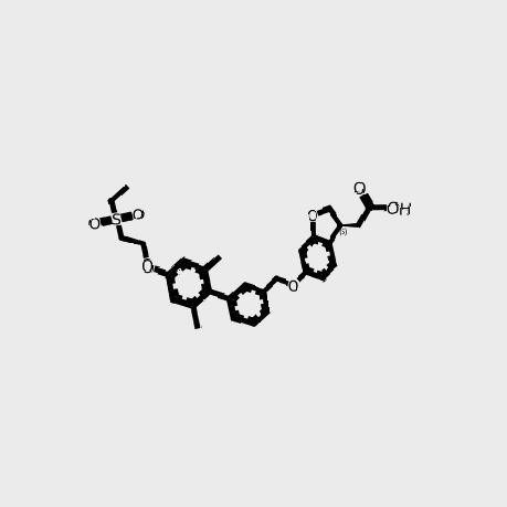 CCS(=O)(=O)CCOc1cc(C)c(-c2cccc(COc3ccc4c(c3)OC[C@H]4CC(=O)O)c2)c(C)c1